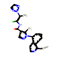 COc1nccc2c(-n3ncc(C(=O)N/C(F)=C(\C)n4nccn4)c3C(F)(F)F)cccc12